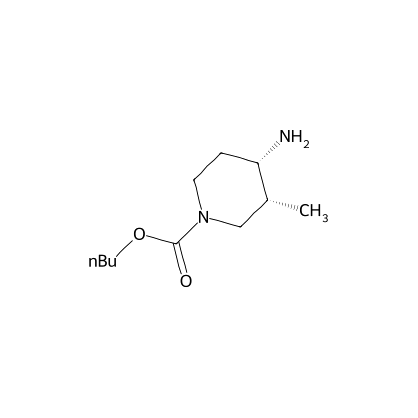 CCCCOC(=O)N1CC[C@H](N)[C@H](C)C1